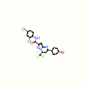 O=C(Nc1ccc(Cl)cc1Cl)c1cc2nc(-c3ccc(Br)cc3)cc(C(F)(F)F)n2n1